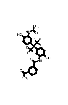 CC(=O)Nc1cc(C(c2ccc(O)c(NC(=O)c3cccc(C(C)=O)c3)c2)(C(F)(F)F)C(F)(F)F)ccc1O